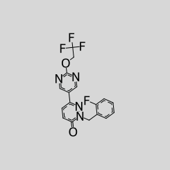 O=c1ccc(-c2cnc(OCC(F)(F)F)nc2)nn1Cc1ccccc1F